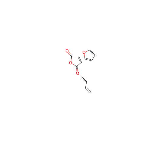 C=CC=C.O=C1C=CC(=O)O1.c1ccoc1